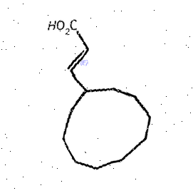 O=C(O)/C=C/C1CCCCCCCCC1